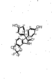 O=C1Nc2c(ccc(Cl)c2OC(F)(F)F)C1(c1ccc(O)cc1)c1ccc(O)cc1